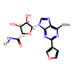 CCNC(=O)[C@H]1O[C@@H](n2cnc3c(NC)nc(-c4ccoc4)nc32)[C@H](O)[C@@H]1O